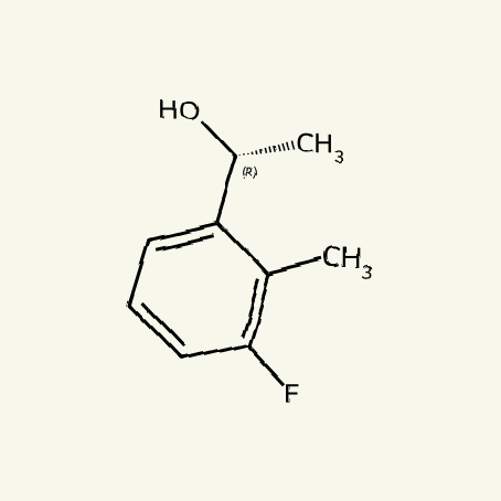 Cc1c(F)cccc1[C@@H](C)O